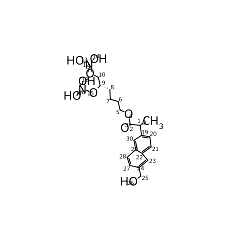 C[C@H](C(=O)OCCCC[C@@H](CON(O)O)ON(O)O)c1ccc2cc(CO)ccc2c1